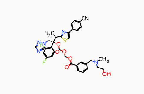 C[C@@H](c1nc(-c2ccc(C#N)cc2)cs1)[C@@](Cn1cncn1)(OC(=O)OCOC(=O)c1cccc(CN(C)CCO)c1)c1ccc(F)cc1F